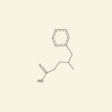 CC(CCC(O)=S)Cc1ccccc1